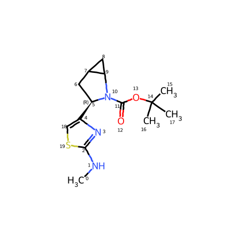 CNc1nc([C@H]2CC3CC3N2C(=O)OC(C)(C)C)cs1